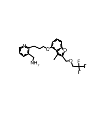 Cc1c(COCC(F)(F)F)oc2cccc(OCCCc3ncccc3CN)c12